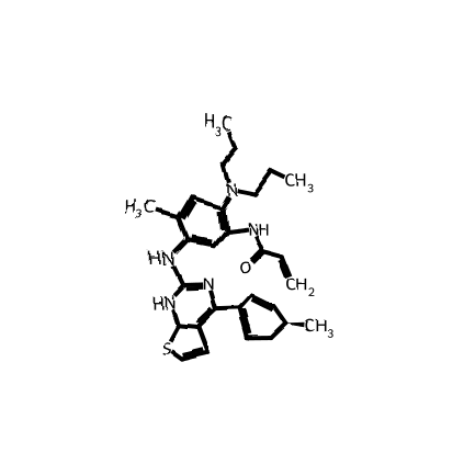 C=CC(=O)Nc1cc(NC2=NC(C3=CC[C@H](C)C=C3)=C3C=CSC3N2)c(C)cc1N(CCC)CCC